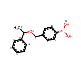 CC(OCc1ccc(B(O)O)cc1)c1ccccc1